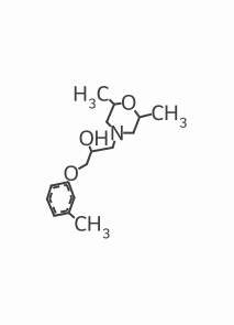 Cc1cccc(OCC(O)CN2CC(C)OC(C)C2)c1